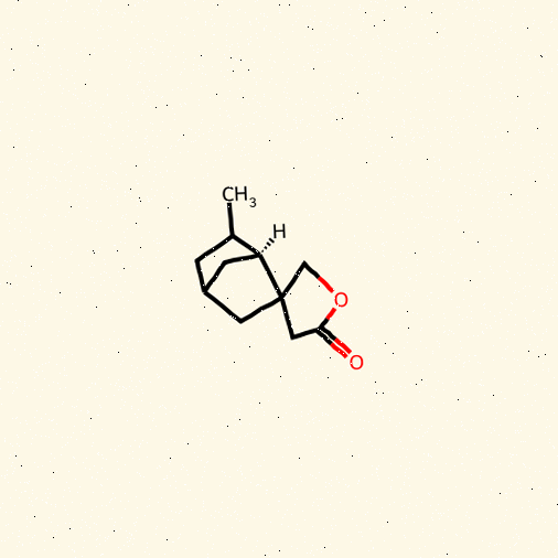 CC1CC2C[C@@H]1C1(COC(=O)C1)C2